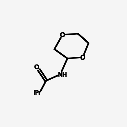 CC(C)C(=O)NC1COCCO1